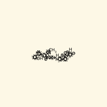 Cn1ccc(OC2(C(=O)N3CC4(CN(CCC5CCN(c6cccc7c6n(C)c(=O)n7[C@@H]6CCC(=O)NC6=O)CC5)C4)C3)CCN(c3cnnc(-c4ccccc4O)c3)CC2)n1